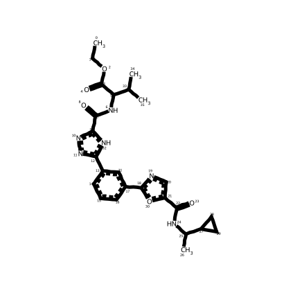 CCOC(=O)C(NC(=O)c1nnc(-c2cccc(-c3ncc(C(=O)NC(C)C4CC4)o3)c2)[nH]1)C(C)C